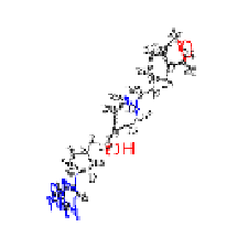 OC(Cc1ccc(-n2cnnn2)cc1)C1CCN(CCc2ccc3cocc3c2)CC1